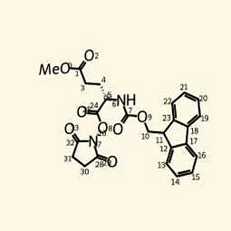 COC(=O)CC[C@H](NC(=O)OCC1c2ccccc2-c2ccccc21)C(=O)ON1C(=O)CCC1=O